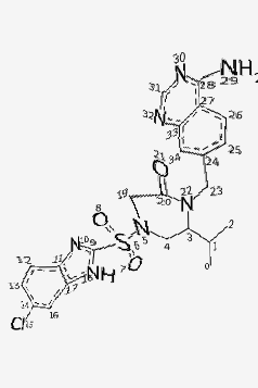 CC(C)C1CN(S(=O)(=O)c2nc3ccc(Cl)cc3[nH]2)CC(=O)N1Cc1ccc2c(N)ncnc2c1